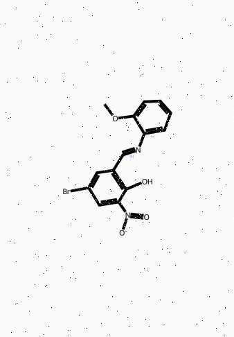 COc1ccccc1/N=C/c1cc(Br)cc([N+](=O)[O-])c1O